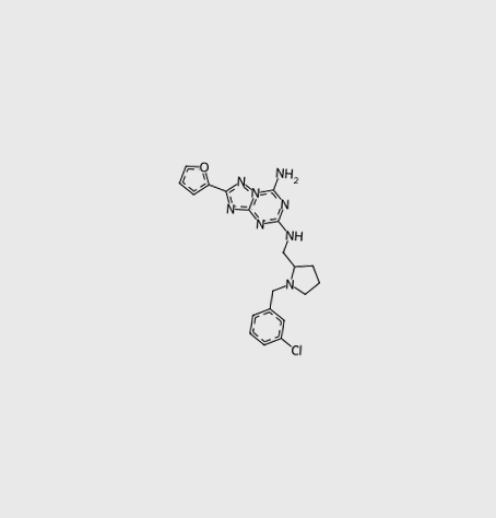 Nc1nc(NCC2CCCN2Cc2cccc(Cl)c2)nc2nc(-c3ccco3)nn12